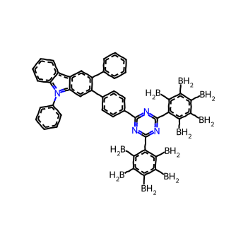 Bc1c(B)c(B)c(-c2nc(-c3ccc(-c4cc5c(cc4-c4ccccc4)c4ccccc4n5-c4ccccc4)cc3)nc(-c3c(B)c(B)c(B)c(B)c3B)n2)c(B)c1B